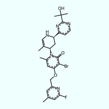 CC1=CN[C@@H](c2ccnc(C(C)(C)O)n2)C[C@H]1n1c(C)cc(OCc2cc(C)cc(F)n2)c(Br)c1=O